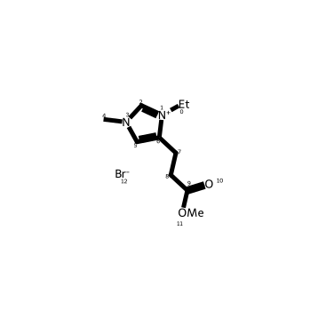 CC[n+]1cn(C)cc1CCC(=O)OC.[Br-]